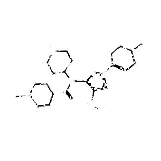 CC1CC=C(n2cc(OC(=O)O)c(N(C(=O)[C@H]3CC[C@H](C)CC3)C3CCOCC3)n2)CC1